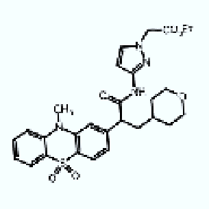 CCOC(=O)Cn1ccc(NC(=O)C(CC2CCOCC2)c2ccc3c(c2)N(C)c2ccccc2S3(=O)=O)n1